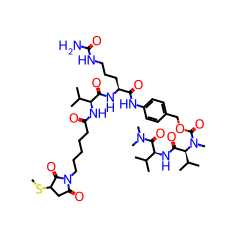 CSC1CC(=O)N(CCCCCC(=O)N[C@H](C(=O)N[C@@H](CCCNC(N)=O)C(=O)Nc2ccc(COC(=O)N(C)[C@H](C(=O)N[C@H](C(=O)N(C)C)C(C)C)C(C)C)cc2)C(C)C)C1=O